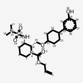 C=CCOC(=O)N1CCC[C@H](NS(=O)(=O)N(C)C)[C@@H]1COC1CCC(c2cccc(O)c2)CC1